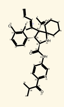 C=C/C=C(\C)[C@]1(C(C)=O)[C@@H](c2cccc(Cl)c2F)[C@H](C(=O)Nc2ccc(C(=O)C(C)C)nc2)NC12CCCCC2